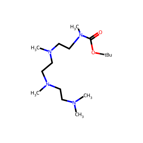 CN(C)CCN(C)CCN(C)CCN(C)C(=O)OC(C)(C)C